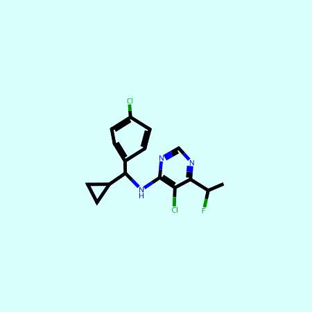 CC(F)c1ncnc(NC(c2ccc(Cl)cc2)C2CC2)c1Cl